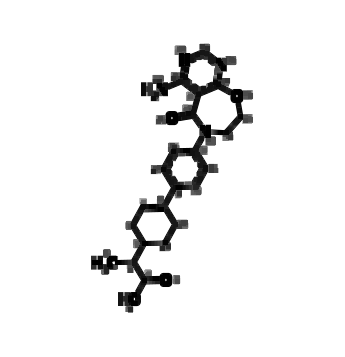 CC(C(=O)O)C1CC=C(c2ccc(N3CCOc4ncnc(N)c4C3=O)cc2)CC1